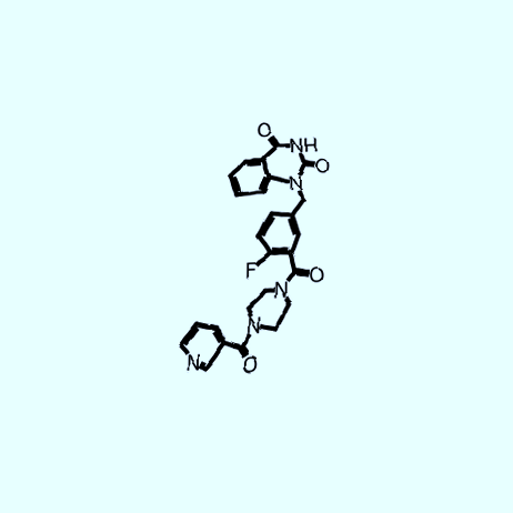 O=C(c1cccnc1)N1CCN(C(=O)c2cc(Cn3c(=O)[nH]c(=O)c4ccccc43)ccc2F)CC1